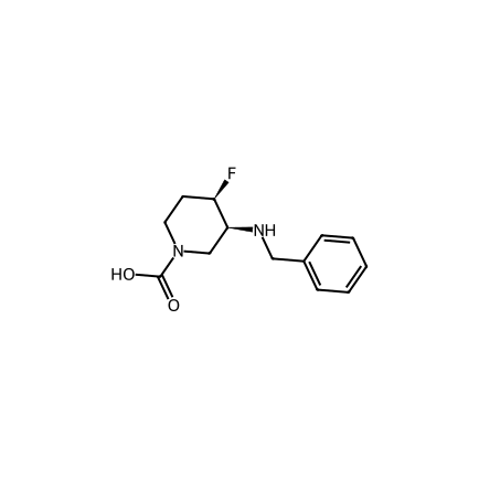 O=C(O)N1CC[C@@H](F)[C@@H](NCc2ccccc2)C1